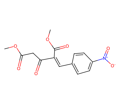 COC(=O)CC(=O)C(=Cc1ccc([N+](=O)[O-])cc1)C(=O)OC